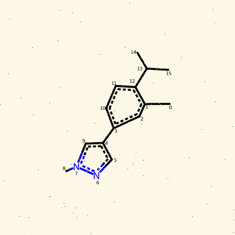 Cc1cc(-c2cnn(C)c2)ccc1C(C)C